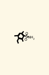 CCc1c(C)cc(C)c(S(N)(=O)=O)c1C